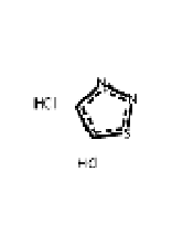 Cl.Cl.c1csnn1